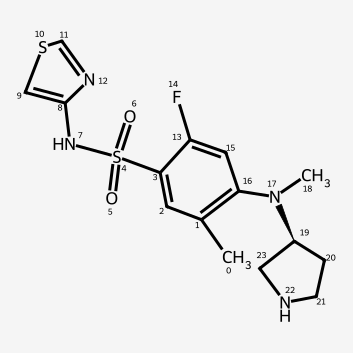 Cc1cc(S(=O)(=O)Nc2cscn2)c(F)cc1N(C)[C@H]1CCNC1